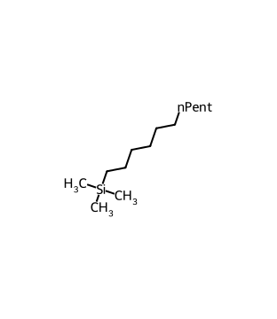 [CH2]CCCCCCCCCC[Si](C)(C)C